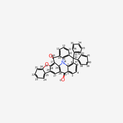 O=c1c2cccc3c2n2c4c(cccc4c(=O)c4c5oc6ccccc6c5cc1c42)C3(c1ccccc1)c1ccccc1